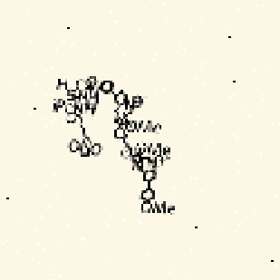 COc1ccc(C2=CC=C3C(C2)Cn2cc(OCCCOc4cn5c(c4OC)C=[N+]([O-])C4=CC=C(c6cccc(NC(=O)C(C)NC(=O)C(NC(=O)CCCCCN7C(=O)C=CC7=O)C(C)C)c6)CC4C5)c(OC)c2C=[N+]3[O-])cc1